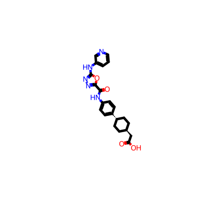 O=C(O)C[C@H]1CC[C@H](c2ccc(NC(=O)c3nnc(Nc4cccnc4)o3)cc2)CC1